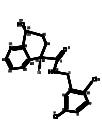 O=C(NCc1cc(Cl)ccc1Cl)[C@]1(F)CC[C@H](O)c2ncccc21